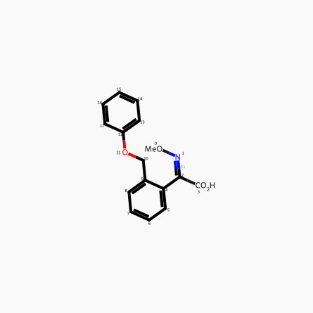 CO/N=C(/C(=O)O)c1ccccc1COc1ccccc1